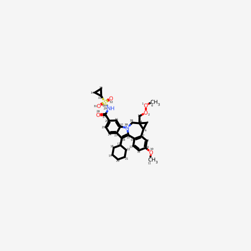 COOCC12CC1c1cc(OC)ccc1-c1c(C3CCCCC3)c3ccc(C(=O)NS(=O)(=O)C4CC4)cc3n1C2